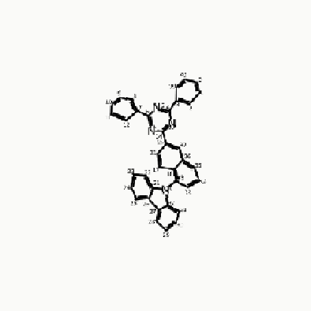 c1ccc(-c2nc(-c3ccccc3)nc(-c3ccc4c(-n5c6ccccc6c6ccccc65)cccc4c3)n2)cc1